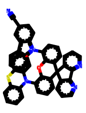 N#Cc1ccc2c(c1)c1ccccc1n2-c1cccc2c1Oc1c(N3c4ccccc4Sc4ccccc43)cccc1C21c2cccnc2-c2ncccc21